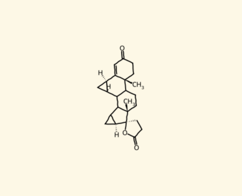 C[C@]12CCC(=O)C=C1[C@@H]1C[C@@H]1C1C2CC[C@@]2(C)C1C1C[C@@H]1[C@@]21CCC(=O)O1